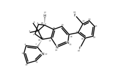 CC1(C)[C@H]2CC[C@]1(c1ccccn1)c1nnc(-c3c(F)cccc3F)cc12